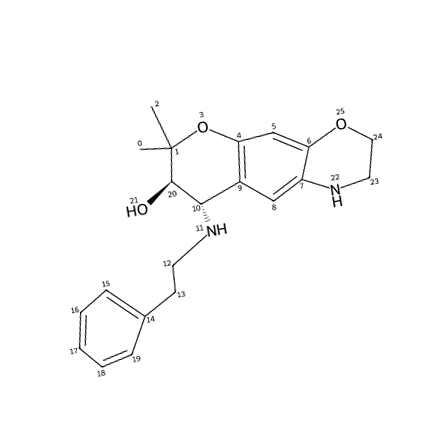 CC1(C)Oc2cc3c(cc2[C@H](NCCc2ccccc2)[C@H]1O)NCCO3